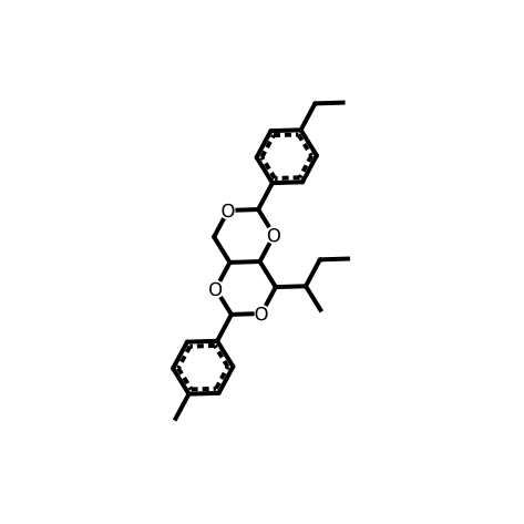 CCc1ccc(C2OCC3OC(c4ccc(C)cc4)OC(C(C)CC)C3O2)cc1